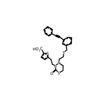 O=C(O)c1ccc(CCN2C(=O)SCCN2CCSCc2cccc(C#Cc3ccccc3)c2)s1